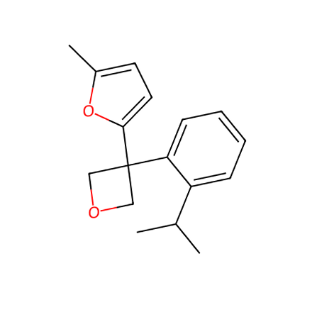 Cc1ccc(C2(c3ccccc3C(C)C)COC2)o1